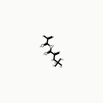 C=C(C)C(=O)OC(=O)C(=C)CC(C)(C)C